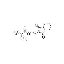 C=C(C)C(=O)OCCN1C(=O)C2CCCCC2C1=O